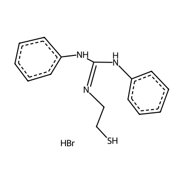 Br.SCCN=C(Nc1ccccc1)Nc1ccccc1